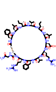 CC[C@H](C)[C@@H]1NC(=O)[C@H](CC(C)C)NC(=O)[C@H](Cc2ccccc2)NC(=O)CSC[C@@H](C(=O)NCC(N)=O)NC(=O)[C@H](CCCNC(=N)N)NC(=O)[C@H](Cc2ccccc2)NC(=O)[C@H](C(C)C)NC(=O)[C@H](CCCNC(=N)N)NC(=O)[C@H](CC(=O)O)NC(=O)[C@H](CC(C)C)NC(=O)[C@H]([C@@H](C)CC)NC(=O)[C@H](C(C)C)NC1=O